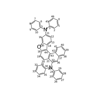 c1ccc(N(c2ccccc2)c2ccc3c(c2)oc2ccc4c(N(c5ccccc5)c5ccccc5)cc5ccccc5c4c23)cc1